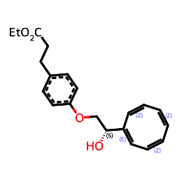 CCOC(=O)CCc1ccc(OC[C@@H](O)C2=C/C=C\C=C/C=C\2)cc1